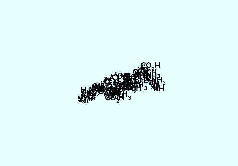 CCc1cc(OC)ccc1-c1ccc(C[C@H](NC(=O)[C@H](CC(=O)O)NC(=O)[C@H](CO)NC(=O)[C@@H](NC(=O)C(C)(Cc2ccccc2F)NC(=O)[C@@H](NC(=O)CNC(=O)[C@H](CCC(=O)O)NC(=O)C(C)(C)NC(=O)[C@@H](N)Cc2c[nH]cn2)C(C)O)C(C)O)C(=O)N[C@@H](Cc2ccc(-c3ccccc3C)cc2)C(N)=O)cc1